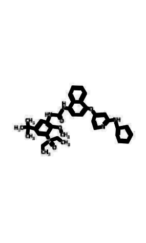 CCP(=O)(CC)c1cc(C(C)(C)C)cc(NC(=O)Nc2ccc(Oc3ccnc(Nc4ccccc4)c3)c3ccccc23)c1OC